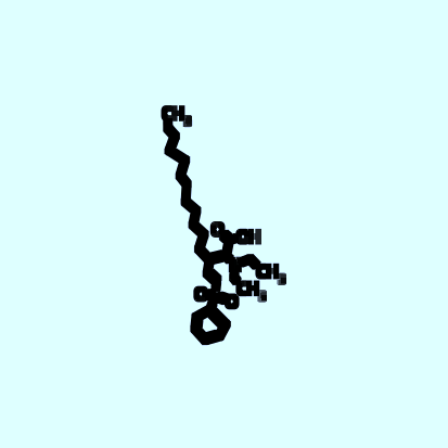 CCCCCCCCCCCCC(C=CS(=O)(=O)c1ccccc1)=C(C(=O)O)N(CC)CC